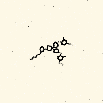 CCCCCCc1cccc(C2CCC(c3ccc(Oc4ccc(N)cc4C)cc3)(c3ccc(Oc4ccc(N)cc4C)cc3)CC2)c1